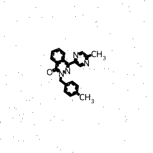 Cc1ccc(Cn2nc(-c3cnc(C)cn3)c3ccccc3c2=O)cc1